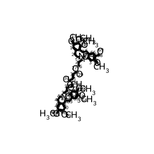 COc1ccc(CC2c3c(cc(OC)c(OC)c3OC)CC[N+]2(C)CCCOC(=O)/C=C/C(=O)OCCC[N+]2(C)CCc3cc(OC)c(OC)cc3C2Cc2cc(OC)c(OC)c(OC)c2)cc1C=O